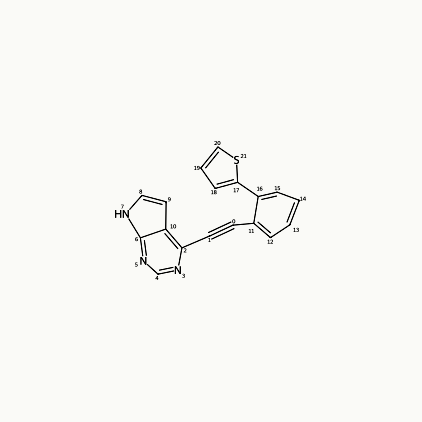 C(#Cc1ncnc2[nH]ccc12)c1ccccc1-c1cccs1